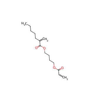 C=CC(=O)OCCCCOC(=O)C(=C)CCCCC